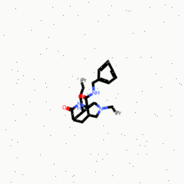 CC(C)CCC1C2CC3CN(CC(C)C)C1C3(C(=O)NCc1ccccc1)NC2=O